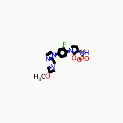 COC1CN(Cc2nccn2-c2ccc(N3CCC(N[SH](=O)=O)C3=O)c(F)c2)C1